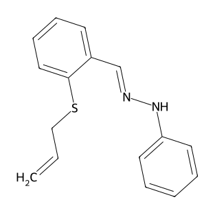 C=CCSc1ccccc1C=NNc1ccccc1